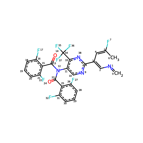 C=N/C=C(\C=C(/C)F)c1ncc(N(C(=O)c2c(F)cccc2F)C(=O)c2c(F)cccc2F)c(C(F)(F)F)n1